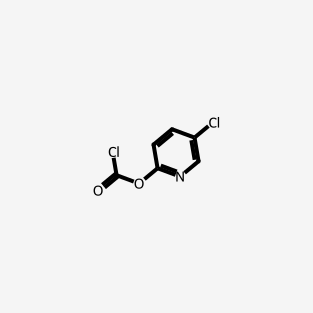 O=C(Cl)Oc1ccc(Cl)cn1